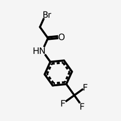 O=C(CBr)Nc1ccc(C(F)(F)F)cc1